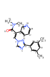 Cc1cc(-c2ncn(C=C(C(=O)N(C)C)c3cccnc3)n2)cc(C(F)(F)F)c1